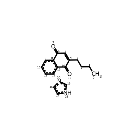 CCCCC1=CC(=O)c2ccccc2C1=O.c1c[nH]cn1